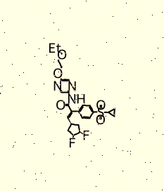 CCOCCOc1cnc(NC(=O)/C(=C/[C@H]2C[C@@H](F)[C@@H](F)C2)c2ccc(S(=O)(=O)C3CC3)cc2)cn1